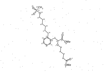 COC(=O)CCCCOC(Cc1ccccc1CCCCCCOS(C)(=O)=O)C(=O)OC